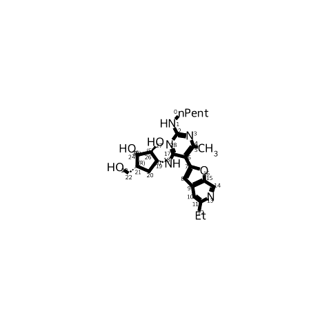 CCCCCNc1nc(C)c(-c2cc3cc(CC)ncc3o2)c(N[C@@H]2C[C@H](CO)[C@@H](O)[C@H]2O)n1